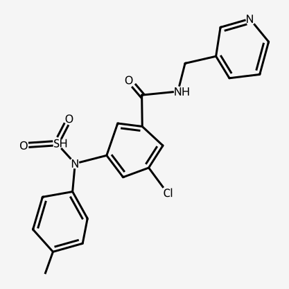 Cc1ccc(N(c2cc(Cl)cc(C(=O)NCc3cccnc3)c2)[SH](=O)=O)cc1